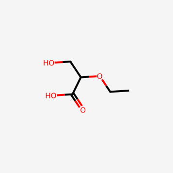 CCOC(CO)C(=O)O